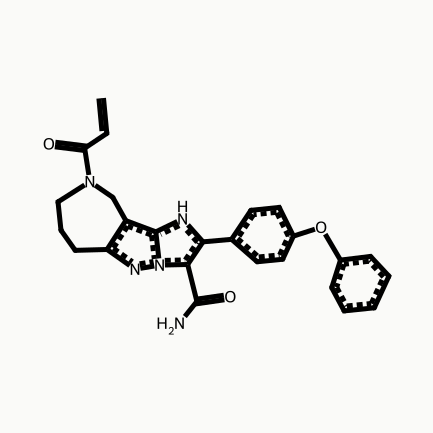 C=CC(=O)N1CCCc2nn3c(C(N)=O)c(-c4ccc(Oc5ccccc5)cc4)[nH]c3c2C1